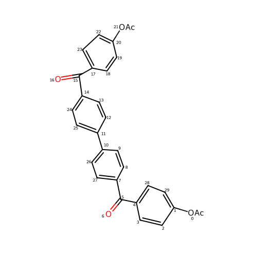 CC(=O)Oc1ccc(C(=O)c2ccc(-c3ccc(C(=O)c4ccc(OC(C)=O)cc4)cc3)cc2)cc1